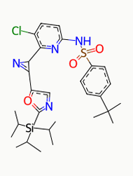 CC(C)[Si](c1ncc(C2=NC2c2nc(NS(=O)(=O)c3ccc(C(C)(C)C)cc3)ccc2Cl)o1)(C(C)C)C(C)C